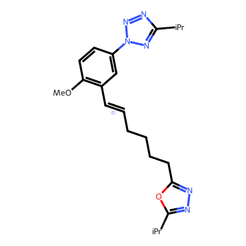 COc1ccc(-n2nnc(C(C)C)n2)cc1/C=C/CCCCc1nnc(C(C)C)o1